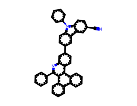 N#Cc1ccc2c(c1)c1cc(-c3ccc4c(c3)nc(-c3ccccc3)c3c5ccccc5c5ccccc5c43)ccc1n2-c1ccccc1